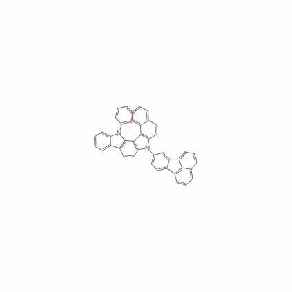 c1ccc(-n2c3ccccc3c3ccc4c(c5c6ccccc6ccc5n4-c4ccc5c(c4)-c4cccc6cccc-5c46)c32)cc1